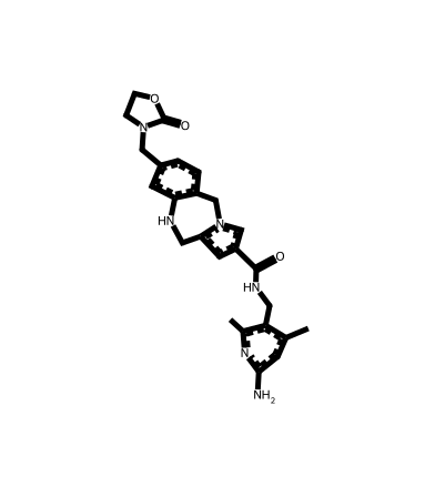 Cc1cc(N)nc(C)c1CNC(=O)c1cc2n(c1)Cc1ccc(CN3CCOC3=O)cc1NC2